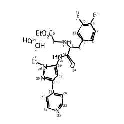 CCOC(=O)CNC(Cc1ccc(F)c(F)c1)C(=O)Nc1cc(-c2ccncc2)nn1CC.Cl.Cl